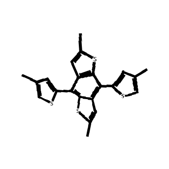 Cc1csc(-c2c3cc(C)sc3c(-c3cc(C)cs3)c3cc(C)sc23)c1